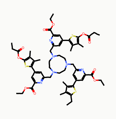 CCOC(=O)c1cc(-c2sc(CC)c(C)c2C)cc(CN2CCN(Cc3cc(-c4sc(OC(=O)CC)c(C)c4C)cc(C(=O)OCC)n3)CCN(Cc3cc(-c4sc(OC(=O)CC)c(C)c4C)cc(C(=O)OCC)n3)CC2)n1